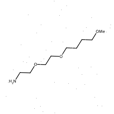 COCCCCOCCOCCN